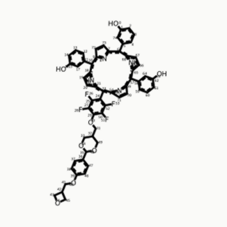 Oc1cccc(-c2c3nc(c(-c4cccc(O)c4)c4ccc([nH]4)c(-c4c(F)c(F)c(OCC5COC(c6ccc(OCC7COC7)cc6)OC5)c(F)c4F)c4nc(c(-c5cccc(O)c5)c5ccc2[nH]5)C=C4)C=C3)c1